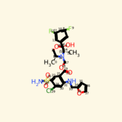 C[C@@H]1CO[C@@](O)(c2cc(F)cc(F)c2)[C@H](C)N1COC(=O)c1cc(S(N)(=O)=O)c(Cl)cc1NCc1ccco1